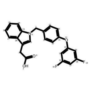 O=C(O)Cc1cn(Cc2ccc(Oc3cc(F)cc(F)c3)cc2)c2ccccc12